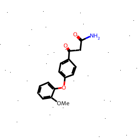 COc1ccccc1Oc1ccc(C(=O)CC(N)=O)cc1